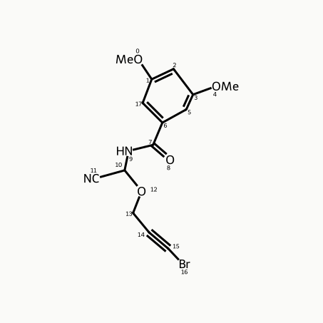 COc1cc(OC)cc(C(=O)NC(C#N)OCC#CBr)c1